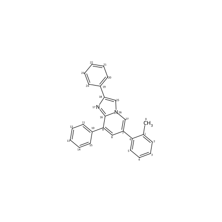 Cc1ccccc1-c1cc(-c2ccccc2)c2nc(-c3ccccc3)cn2c1